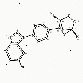 Brc1ccc2ncn(-c3ccc(N4C[C@@H]5C[C@H]4CO5)cc3)c2c1